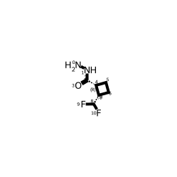 NNC(=O)[C@@H]1CC[C@@H]1C(F)F